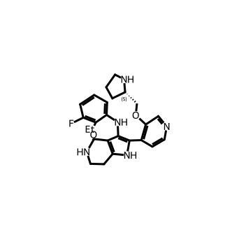 CCc1c(F)cccc1Nc1c(-c2ccncc2OC[C@@H]2CCCN2)[nH]c2c1C(=O)NCC2